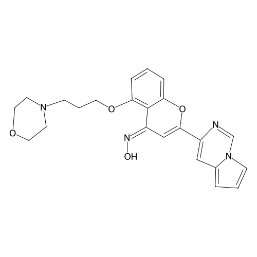 O/N=c1\cc(-c2cc3cccn3cn2)oc2cccc(OCCCN3CCOCC3)c12